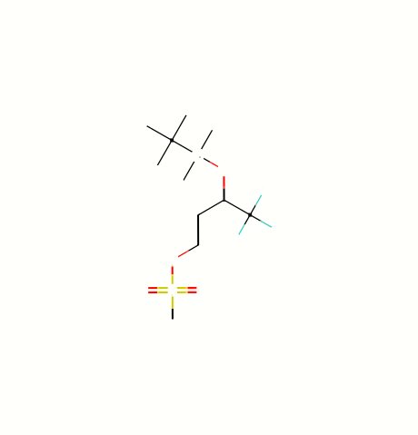 CC(C)(C)[Si](C)(C)OC(CCOS(C)(=O)=O)C(F)(F)F